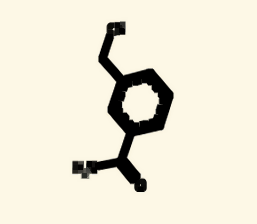 N#CCc1cccc(C(N)=O)c1